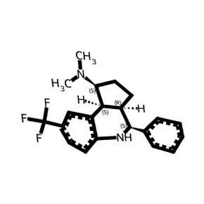 CN(C)[C@H]1CC[C@@H]2[C@H]1c1cc(C(F)(F)F)ccc1N[C@@H]2c1ccccc1